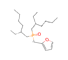 CCCCC(CC)CP(=O)([CH]c1ccco1)CC(CC)CCCC